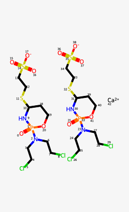 O=P1(N(CCCl)CCCl)NC(SCCS(=O)(=O)[O-])CCO1.O=P1(N(CCCl)CCCl)NC(SCCS(=O)(=O)[O-])CCO1.[Ca+2]